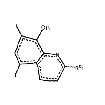 CCCc1ccc2c(I)cc(I)c(O)c2n1